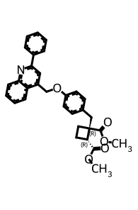 COC(=O)[C@@H]1CC[C@]1(Cc1ccc(OCc2cc(-c3ccccc3)nc3ccccc23)cc1)C(=O)OC